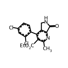 CCOC(=O)c1c(C)nc2c(c1-c1ccc(Cl)cc1Cl)CNC2=O